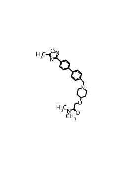 Cc1nc(-c2ccc(-c3ccc(CN4CCC(OCC(=O)N(C)C)CC4)cc3)cc2)no1